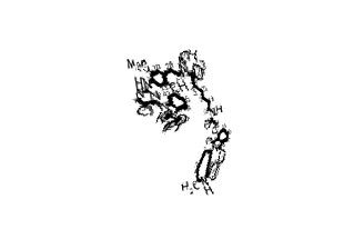 C=C1CCC(N2C(=O)c3cccc(OCC(=O)NCCCCCC(=O)N(C)CCc4cc(OC)c(Nc5ncc(Cl)c(Nc6ccccc6S(=O)(=O)C(C)C)n5)cc4C)c3C2=O)C(=O)N1